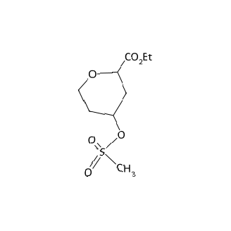 CCOC(=O)C1CC(OS(C)(=O)=O)CCO1